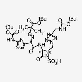 CC(C)(C)OC(=O)NCc1nnn(C[C@@H]2[C@H](NC(=O)C(=NOC(C)(C)C(=O)OC(C)(C)C)c3csc(NC(=O)OC(C)(C)C)n3)C(=O)N2S(=O)(=O)O)n1